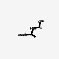 CCCCCC(C)NSC(C)(C)C